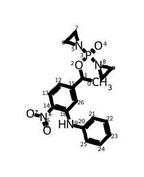 CC(OP(=O)(N1CC1)N1CC1)c1ccc([N+](=O)[O-])c(Nc2ccccc2)c1